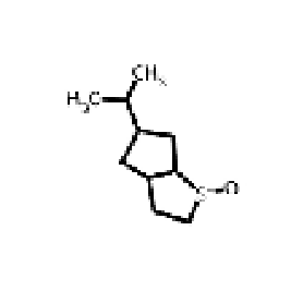 CC(C)C1CC2CC[S+]([O-])C2C1